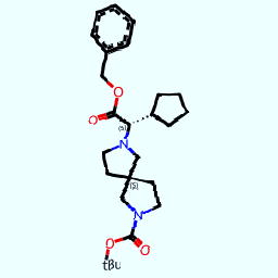 CC(C)(C)OC(=O)N1CC[C@]2(CCN([C@H](C(=O)OCc3ccccc3)C3CCCC3)C2)C1